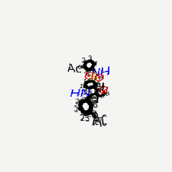 CC(=O)c1cccc(NS(=O)(=O)c2ccc3c(c2)[C@H]2OCC[C@H]2C(c2cccc(C(C)=O)c2)N3)c1